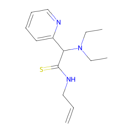 C=CCNC(=S)C(c1ccccn1)N(CC)CC